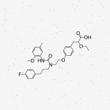 CCOC(Cc1ccc(OCCN(CCCc2ccc(F)cc2)C(=O)Nc2cc(C)ccc2OC)cc1)C(=O)O